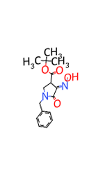 CC(C)(C)OC(=O)C1CN(Cc2ccccc2)C(=O)/C1=N/O